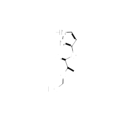 CCOC(=O)C(=O)Oc1cc[nH]n1